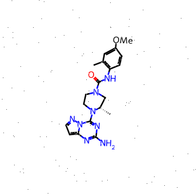 COc1ccc(NC(=O)N2CCN(c3nc(N)nc4ccnn34)[C@@H](C)C2)c(C)c1